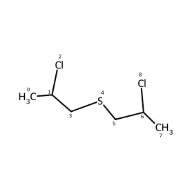 CC(Cl)CSCC(C)Cl